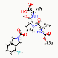 CCC[C@H](NC(=O)[C@@H]1C[C@@H](OC(=O)N2Cc3cccc(F)c3C2)CN1C(=O)[C@@H](NC(=O)OC(C)(C)C)C(C)C)B(O)O